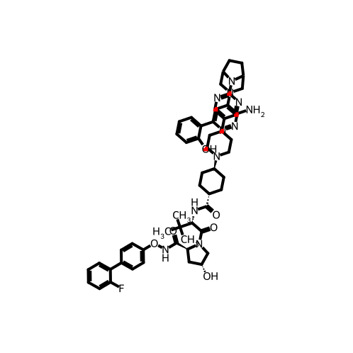 CC(C)(C)[C@H](NC(=O)[C@H]1CC[C@H](N2CCC(c3cnc(N4C5CCC4CN(c4cc(-c6ccccc6O)nnc4N)C5)nc3)CC2)CC1)C(=O)N1C[C@H](O)C[C@H]1C(=O)NOc1ccc(-c2ccccc2F)cc1